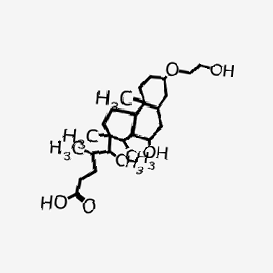 CC1C2C(O)CC3CC(OCCO)CCC3(C)C2CCC1(C)C(C)[C@H](C)CCC(=O)O